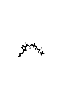 CCCCc1cc(C(=O)NCC(C)(C)CNC(=O)OC(C)(C)C)no1